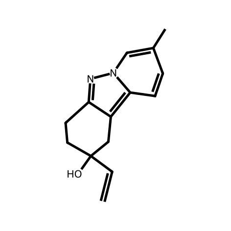 C=CC1(O)CCc2nn3cc(C)ccc3c2C1